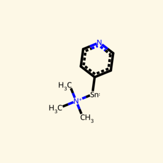 C[N+](C)(C)[Sn][c]1ccncc1